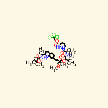 COC[C@](C)(/C=C/c1ccc2ccc([C@@H](C)NC(=O)OC(C)(C)C)nc2c1)C(=O)O[C@H](C(=O)N[C@@H](C)C(=O)N1CCC[C@@H](C(=O)OCC(Cl)(Cl)Cl)N1)C(C)C